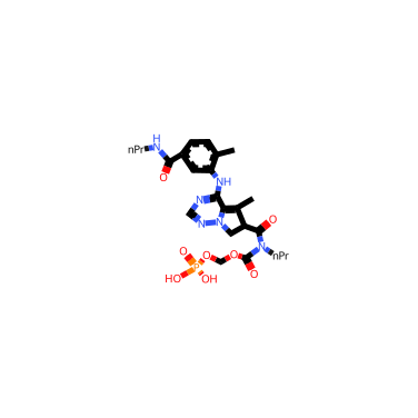 CCCNC(=O)c1ccc(C)c(NC2=NC=NN3CC(C(=O)N(CCC)C(=O)OCOP(=O)(O)O)C(C)=C23)c1